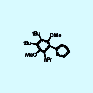 CCCc1c(OC)c(C(C)(C)C)c(C(C)(C)C)c(OC)c1-c1ccccc1